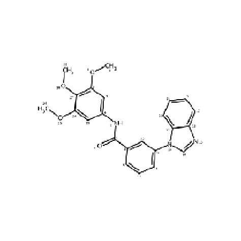 COc1cc(NC(=O)c2cccc(-n3cnc4ccccc43)c2)cc(OC)c1OC